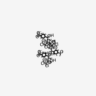 CC(=O)c1ccc([C@@H](O)[C@@H](CO)NC(=O)C(Cl)Cl)cc1.O=C(N[C@H](CO)[C@H](O)c1ccc([N+](=O)[O-])cc1)C(Cl)Cl.O=C(N[C@H](CO)[C@H](O)c1ccc([N+](=O)[O-])cc1)C(Cl)Cl